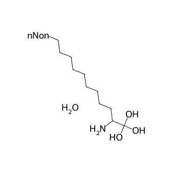 CCCCCCCCCCCCCCCCCCC(N)C(O)(O)O.O